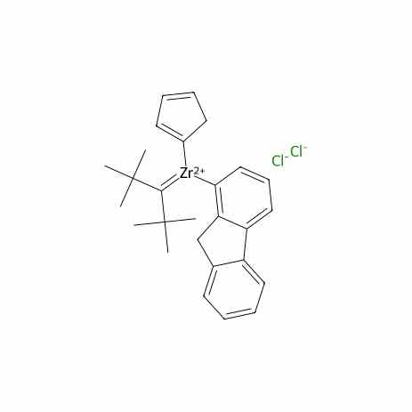 CC(C)(C)[C](=[Zr+2]([C]1=CC=CC1)[c]1cccc2c1Cc1ccccc1-2)C(C)(C)C.[Cl-].[Cl-]